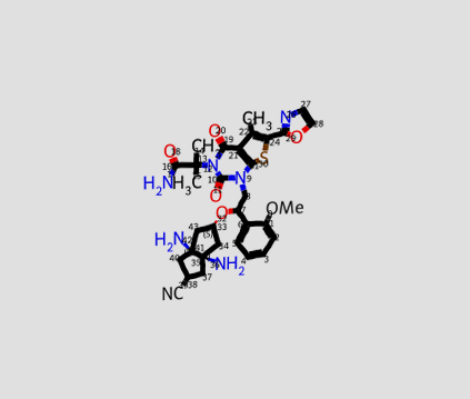 COc1ccccc1C(Cn1c(=O)n(C(C)(C)C(N)=O)c(=O)c2c(C)c(-c3ncco3)sc21)O[C@@H]1C[C@]2(N)CC(C#N)C[C@]2(N)C1